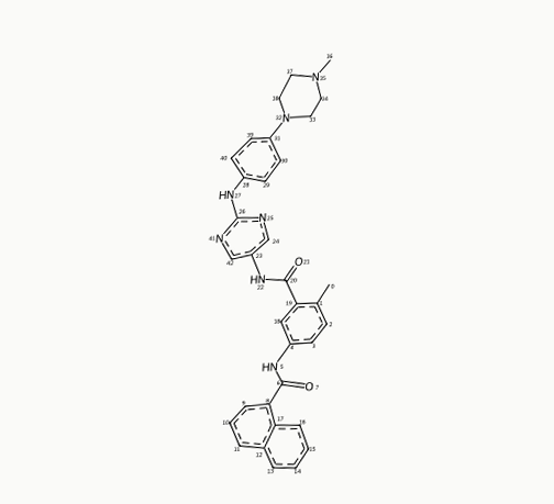 Cc1ccc(NC(=O)c2cccc3ccccc23)cc1C(=O)Nc1cnc(Nc2ccc(N3CCN(C)CC3)cc2)nc1